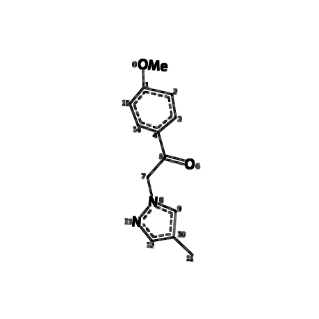 COc1ccc(C(=O)Cn2cc(C)cn2)cc1